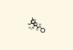 CCc1cc(C)nc2sc(C(=O)NC3CCCCC3)c(N)c12